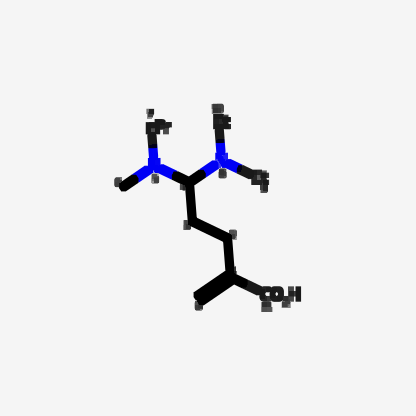 C=C(CCC(N(C)CCC)N(CC)CC)C(=O)O